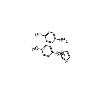 Nc1ccc(O)cc1.Nc1ccc(O)cc1.c1c[nH]cn1